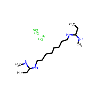 CCC(NC)NCCCCCCCCNC(CC)NC.Cl.Cl.Cl.Cl